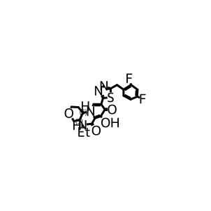 CCN1C(=O)c2c(O)c(=O)c(-c3nnc(Cc4ccc(F)cc4F)s3)cn2[C@H]2CCOC[C@H]21